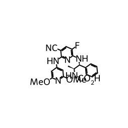 COc1cc(Nc2nc(N[C@@H](c3ccccc3)[C@H](C)NC(=O)O)c(F)cc2C#N)cc(OC)n1